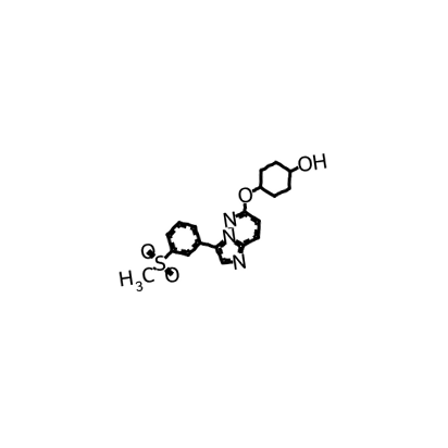 CS(=O)(=O)c1cccc(-c2cnc3ccc(OC4CCC(O)CC4)nn23)c1